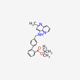 Cc1cc(NCc2ccc(-c3ccccc3C(=O)OC(C)(C)C)cc2)c2ncccc2n1